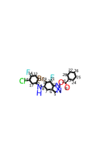 O=C(On1ncc2cc(Nc3ccc(F)c(Cl)c3)c(Br)c(F)c21)c1ccccc1